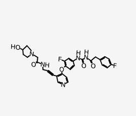 O=C(CN1CCC(O)CC1)NCC#Cc1cnccc1Oc1ccc(NC(=O)NC(=O)Cc2ccc(F)cc2)cc1F